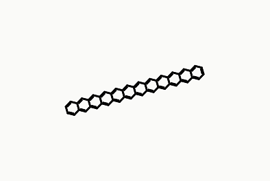 c1ccc2cc3cc4cc5cc6cc7cc8cc9cc%10cc%11cc%12ccccc%12cc%11cc%10cc9cc8cc7cc6cc5cc4cc3cc2c1